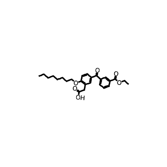 CCCCCCCCOc1ccc(C(=O)c2cccc(C(=O)OCC)c2)cc1CC(=O)O